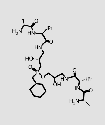 CC(C)[C@H](NC(=O)[C@H](C)N)C(=O)NC[C@@H](O)COP(=O)(CC1CCCCC1)C[C@H](O)CNC(=O)[C@@H](NC(=O)[C@H](C)N)C(C)C